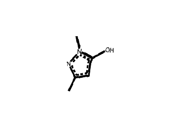 Cc1cc(O)n(C)n1